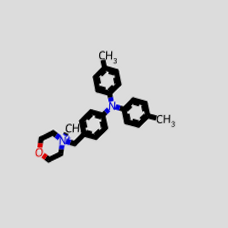 Cc1ccc(N(c2ccc(C)cc2)c2ccc(C[N+]3(C)CCOCC3)cc2)cc1